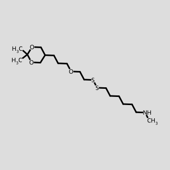 CNCCCCCCSSCCOCCCC1COC(C)(C)OC1